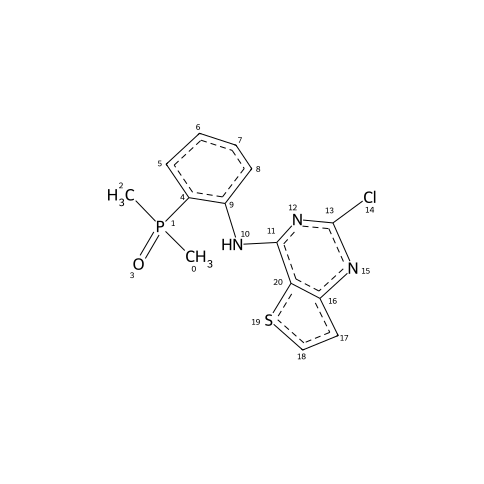 CP(C)(=O)c1ccccc1Nc1nc(Cl)nc2ccsc12